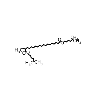 CCC(CCCCCCCCCCCCCCCCC(=O)OCCCCC(C)C)C(=O)OCCCCC(C)C